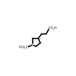 CCOC(=O)N1CCC(CCC(=O)O)C1